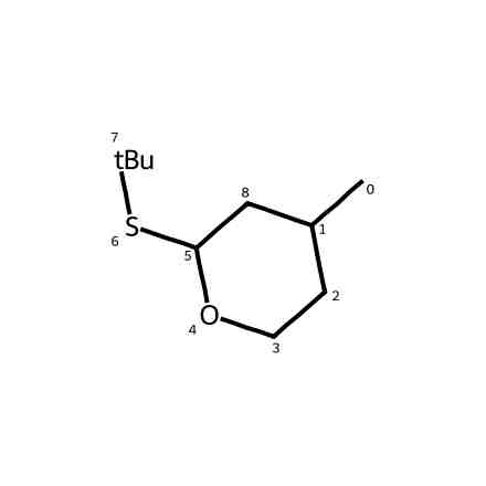 CC1CCOC(SC(C)(C)C)C1